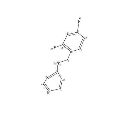 Fc1ccc(CNc2cc[c]cc2)c(F)c1